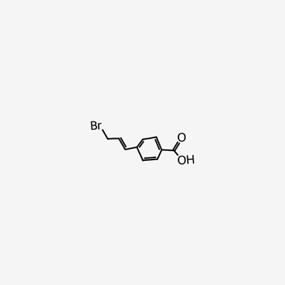 O=C(O)c1ccc(/C=C/CBr)cc1